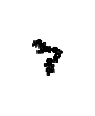 CN(CC1CCC(c2nc3cc(C(C)(C)O)c(NC(=O)c4cccc(C(F)(F)F)n4)cc3s2)CC1)C1CCC2(CC1)CC(Nc1cccc3c1C(=O)N(C1CCC(=O)NC1=O)C3=O)C2